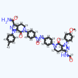 COc1ccc(-n2nc(NC=O)c3c2C(=O)N(c2ccc(/N=[N+](\[O-])c4ccc(N5CCc6c(C(N)=O)nn(-c7ccc(C)cc7)c6C5=O)cc4)cc2)CC3)cc1